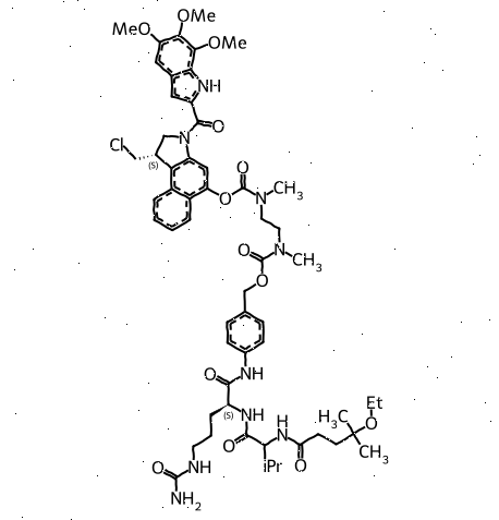 CCOC(C)(C)CCC(=O)NC(C(=O)N[C@@H](CCCNC(N)=O)C(=O)Nc1ccc(COC(=O)N(C)CCN(C)C(=O)Oc2cc3c(c4ccccc24)[C@H](CCl)CN3C(=O)c2cc3cc(OC)c(OC)c(OC)c3[nH]2)cc1)C(C)C